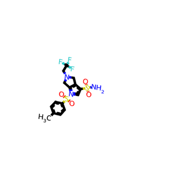 Cc1ccc(S(=O)(=O)n2cc(S(N)(=O)=O)c3c2CN(CC(F)(F)F)C3)cc1